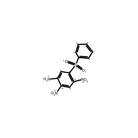 Nc1cc(S(=O)(=O)c2ccccc2)c([N+](=O)[O-])cc1[N+](=O)[O-]